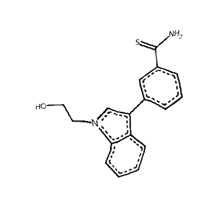 NC(=S)c1cccc(-c2cn(CCO)c3ccccc23)c1